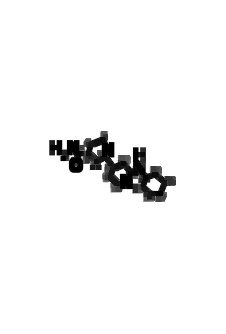 NC(=O)c1ccnc(-c2ccnc(NC3CCCCC3)c2)c1